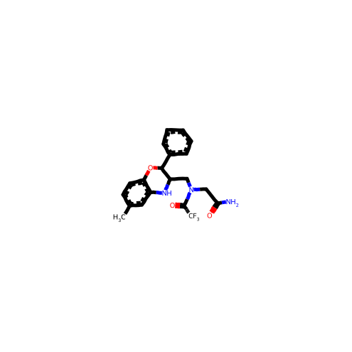 Cc1ccc2c(c1)NC(CN(CC(N)=O)C(=O)C(F)(F)F)C(c1ccccc1)O2